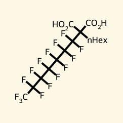 CCCCCCC(C(=O)O)(C(=O)O)C(F)(F)C(F)(F)C(F)(F)C(F)(F)C(F)(F)C(F)(F)C(F)(F)F